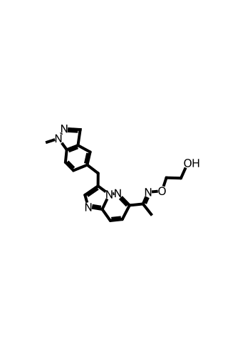 CC(=NOCCO)c1ccc2ncc(Cc3ccc4c(cnn4C)c3)n2n1